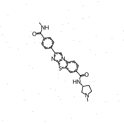 CNC(=O)c1ccc(-c2cn3c(n2)sc2cc(C(=O)N[C@H]4CCN(C)C4)ccc23)cc1